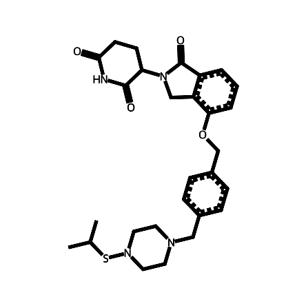 CC(C)SN1CCN(Cc2ccc(COc3cccc4c3CN(C3CCC(=O)NC3=O)C4=O)cc2)CC1